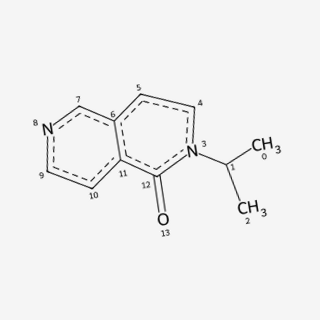 CC(C)n1ccc2cnccc2c1=O